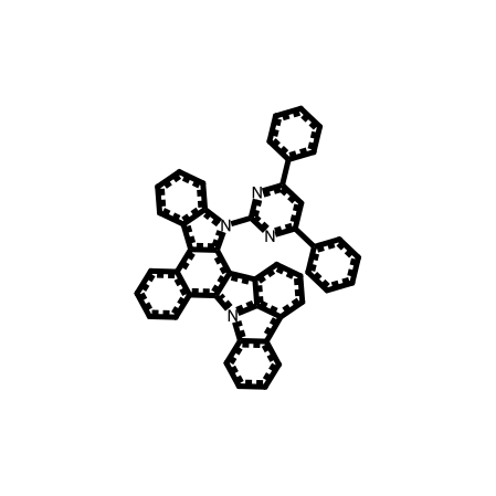 c1ccc(-c2cc(-c3ccccc3)nc(-n3c4ccccc4c4c5ccccc5c5c(c6cccc7c8ccccc8n5c76)c43)n2)cc1